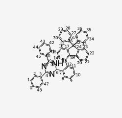 c1ccc(C2=NC(c3ccccc3-c3cccc4c3-c3ccccc3C4(c3ccccc3)c3ccccc3)NC(c3ccccc3)=N2)cc1